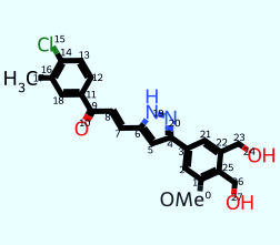 COc1cc(-c2cc(/C=C/C(=O)c3ccc(Cl)c(C)c3)[nH]n2)cc(CO)c1CO